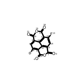 O=C1OC(=O)c2c(F)cc3c4c(c(F)cc1c24)C(=O)OC3=O